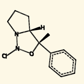 C[C@@]1(c2ccccc2)ON(Cl)N2CCC[C@@H]21